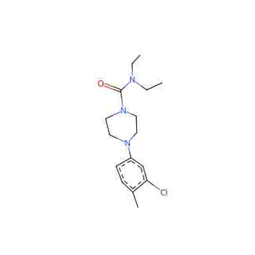 CCN(CC)C(=O)N1CCN(c2ccc(C)c(Cl)c2)CC1